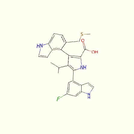 CSCc1ccc2[nH]ccc2c1-c1c(C(=O)O)[nH]c(-c2cc(F)cc3[nH]ccc23)c1C(C)C